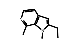 CCc1cc2ccnc(C)c2n1C